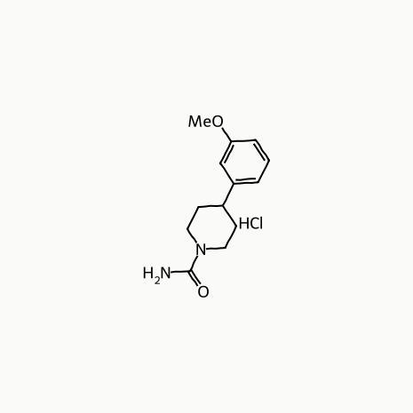 COc1cccc(C2CCN(C(N)=O)CC2)c1.Cl